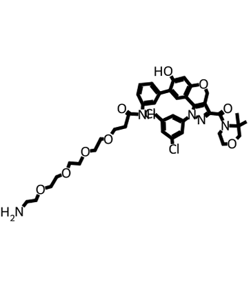 CC1(C)COCCN1C(=O)c1nn(-c2cc(Cl)cc(Cl)c2)c2c1COc1cc(O)c(-c3cccc(NC(=O)CCOCCOCCOCCOCCN)c3)cc1-2